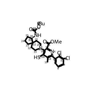 COC(=O)c1nc(-c2cccc(Cl)c2Cl)c(C)c(S)c1N1CCC2(CCC[C@H]2NC(=O)OC(C)(C)C)CC1